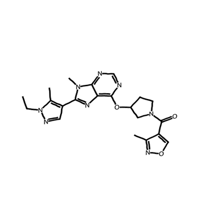 CCn1ncc(-c2nc3c(OC4CCN(C(=O)c5conc5C)C4)ncnc3n2C)c1C